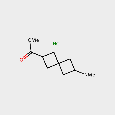 CNC1CC2(C1)CC(C(=O)OC)C2.Cl